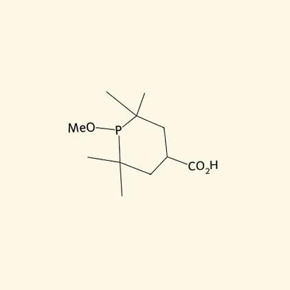 COP1C(C)(C)CC(C(=O)O)CC1(C)C